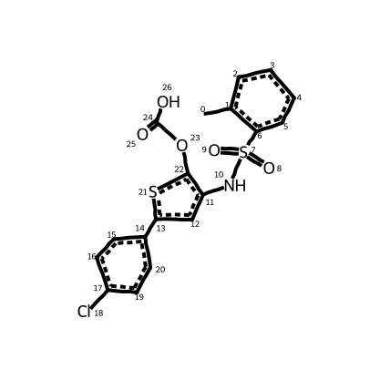 Cc1ccccc1S(=O)(=O)Nc1cc(-c2ccc(Cl)cc2)sc1OC(=O)O